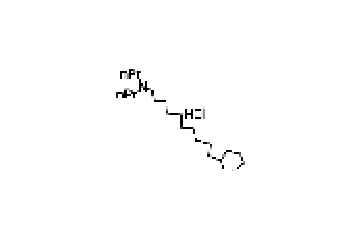 CCCN(CCC)CCCCCCCCCCC1CCCCC1.Cl